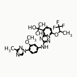 COc1cc(Nc2nc3c(C(C)(C)O)ccc(OC(C)C(F)(F)F)n3n2)ccc1-n1cnc(C)n1